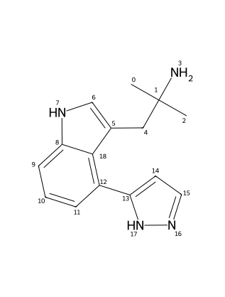 CC(C)(N)Cc1c[nH]c2cccc(-c3ccn[nH]3)c12